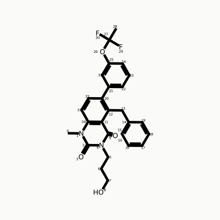 Cn1c(=O)n(CCCO)c(=O)c2c(Cc3ccccc3)c(-c3cccc(OC(C)(F)F)c3)ccc21